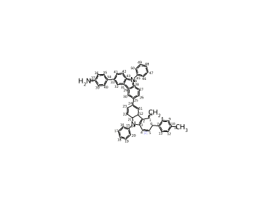 C=CC1=C(/C=C\Cc2ccc(C)cc2)N(c2ccccc2)C2C=CC(c3ccc4c(c3)c3cc(-c5ccc(N)cc5)ccc3n4-c3ccccc3)=CC12